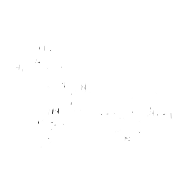 CN1C(=O)C2(CC2)c2c1cnc1ccc(-c3cnc(N4CCC(N(C)C)CC4)c(NS(=O)(=O)C4CC4)c3)cc21